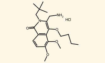 CCCCOc1c(CN)n(CC(C)(C)C)c(=O)c2ccc(OC)c(OC)c12.Cl